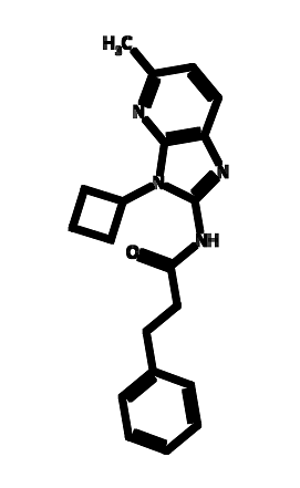 Cc1ccc2nc(NC(=O)CCc3ccccc3)n(C3CCC3)c2n1